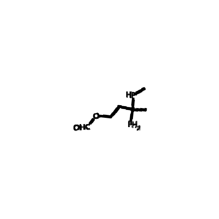 CPC(C)(P)CCOC=O